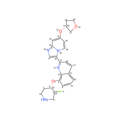 F[C@H]1CNCC[C@@H]1Oc1cccc2ccc(-c3cnc4cc(O[C@@H]5CCOC5)ccn34)nc12